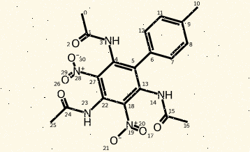 CC(=O)Nc1c(-c2ccc(C)cc2)c(NC(C)=O)c([N+](=O)[O-])c(NC(C)=O)c1[N+](=O)[O-]